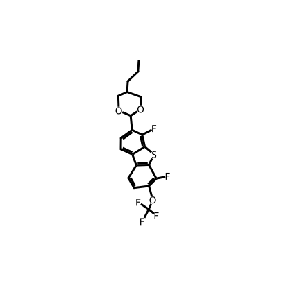 CCCC1COC(c2ccc3c(sc4c(F)c(OC(F)(F)F)ccc43)c2F)OC1